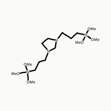 CO[Si](CCCN1CCN(CCC[Si](OC)(OC)OC)C1)(OC)OC